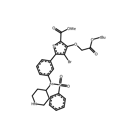 COC(=O)c1sc(-c2cccc([As](C3CCNCC3)S(=O)(=O)c3ccccc3)c2)c(Br)c1OCC(=O)OC(C)(C)C